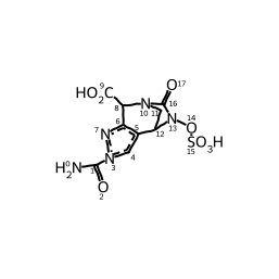 NC(=O)n1cc2c(n1)C(C(=O)O)N1CC2N(OS(=O)(=O)O)C1=O